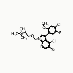 COc1cc(Cl)c(F)cc1-c1cn(COCC[Si](C)(C)C)c2ncc(Br)c(Cl)c12